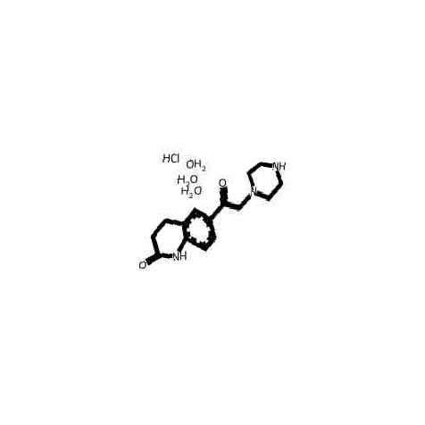 Cl.O.O.O.O=C1CCc2cc(C(=O)CN3CCNCC3)ccc2N1